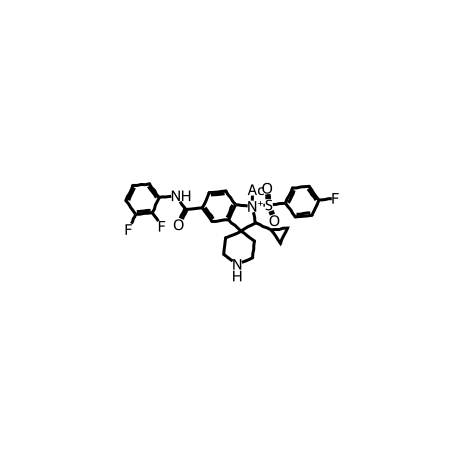 CC(=O)[N+]1(S(=O)(=O)c2ccc(F)cc2)c2ccc(C(=O)Nc3cccc(F)c3F)cc2C2(CCNCC2)C1C1CC1